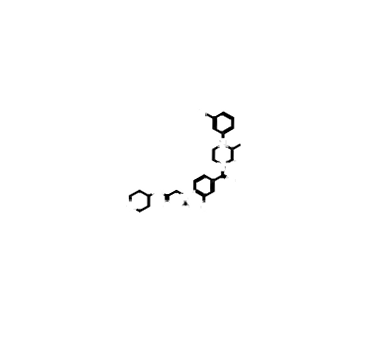 CC1[C@H](C)N(C(=O)c2ccc([S+]([O-])CC(=O)OC3CCOCC3)c(Cl)c2)CCN1c1cccc(Cl)c1